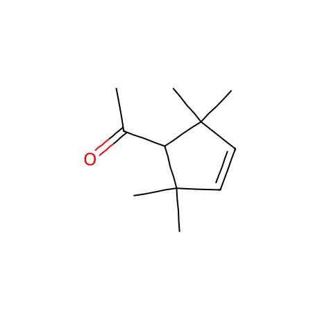 CC(=O)C1C(C)(C)C=CC1(C)C